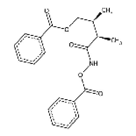 C[C@H](COC(=O)c1ccccc1)[C@@H](C)C(=O)NOC(=O)c1ccccc1